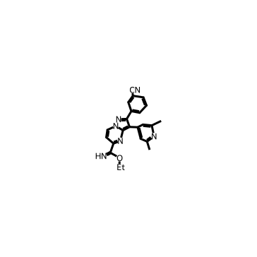 CCOC(=N)c1ccn2nc(-c3cccc(C#N)c3)c(-c3cc(C)nc(C)c3)c2n1